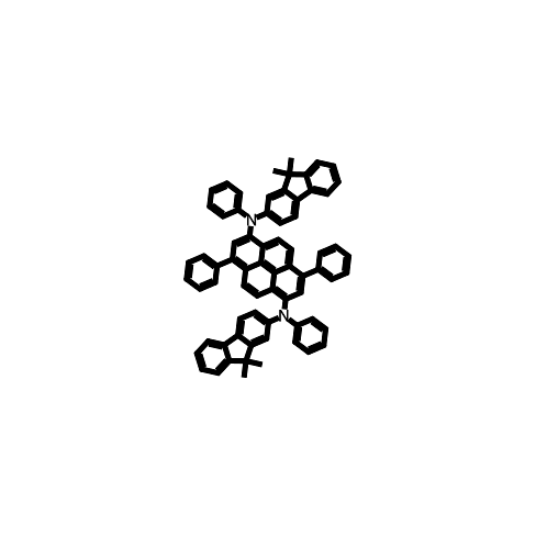 CC1(C)c2ccccc2-c2ccc(N(c3ccccc3)c3cc(-c4ccccc4)c4ccc5c(N(c6ccccc6)c6ccc7c(c6)C(C)(C)c6ccccc6-7)cc(-c6ccccc6)c6ccc3c4c65)cc21